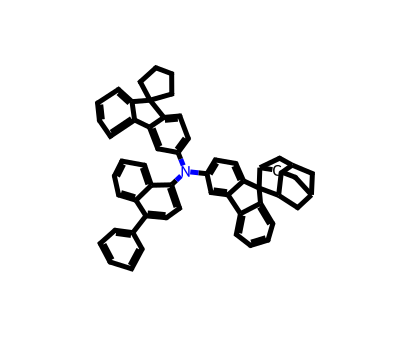 c1ccc(-c2ccc(N(c3ccc4c(c3)-c3ccccc3C43CCCC3)c3ccc4c(c3)-c3ccccc3C43C4CCC5CC(C4)CC3C5)c3ccccc23)cc1